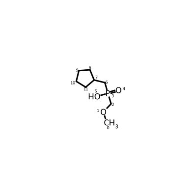 COCP(=O)(O)CC1CCCC1